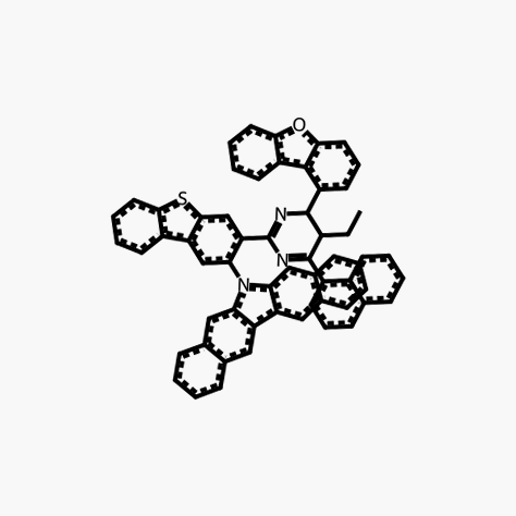 CCC1C(c2cccc3ccccc23)=NC(c2cc3sc4ccccc4c3cc2-n2c3cc4ccccc4cc3c3cc4ccccc4cc32)=NC1c1cccc2oc3ccccc3c12